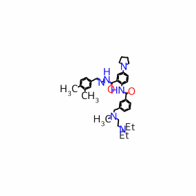 CCN(CC)CCN(C)Cc1cccc(C(=O)Nc2ccc(N3CCCC3)cc2C(=O)NN=Cc2ccc(C)c(C)c2)c1